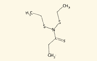 [CH2]CC(=S)N(SCC)SCC